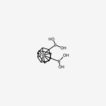 OB(O)[C]12[CH]3[CH]4[CH]5[C]1(B(O)O)[Fe]43521678[CH]2[CH]1[CH]6[CH]7[CH]28